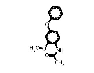 COc1cc(Oc2ccccc2)ccc1NC(C)=O